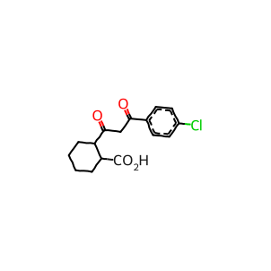 O=C(CC(=O)C1CCCCC1C(=O)O)c1ccc(Cl)cc1